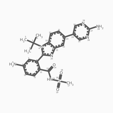 CC(C)(C)n1c(-c2cc(N)ccc2C(=O)NS(C)(=O)=O)nc2cc(-c3cnc(N)nc3)ccc21